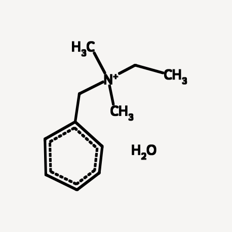 CC[N+](C)(C)Cc1ccccc1.O